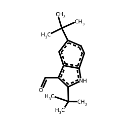 CC(C)(C)c1ccc2[nH]c(C(C)(C)C)c(C=O)c2c1